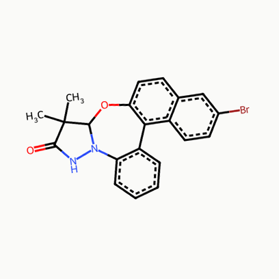 CC1(C)C(=O)NN2c3ccccc3-c3c(ccc4cc(Br)ccc34)OC21